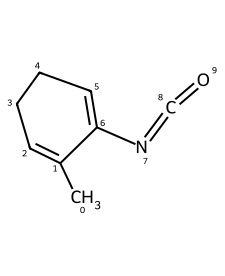 CC1=CCCC=C1N=C=O